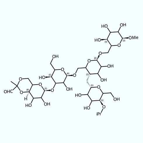 CO[C@H]1OC(CO[C@@H]2OC(CO[C@@H]3OC(CO)[C@H](O)C(O[C@@H]4OC5COC(C)(C=O)O[C@@H]5C(O)C4O)C3O)[C@@H](C[C@@H]3OC(CO)[C@@H](OC(C)C)C(O)C3O)C(O)C2O)[C@@H](O)C(O)C1O